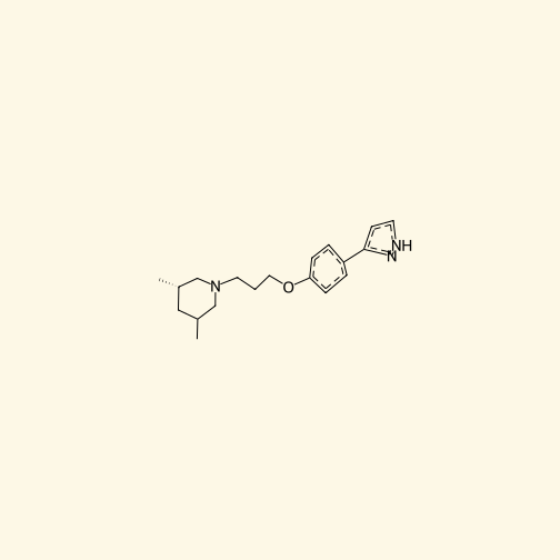 CC1C[C@H](C)CN(CCCOc2ccc(-c3cc[nH]n3)cc2)C1